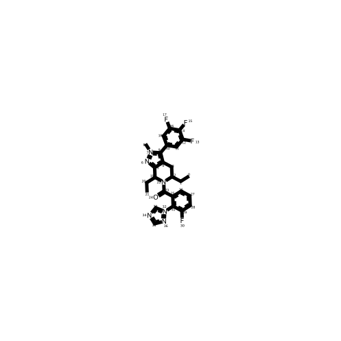 CCC1Cc2c(nn(C)c2-c2cc(F)c(F)c(F)c2)C(CC)N1C(=O)c1cccc(F)c1-n1cncn1